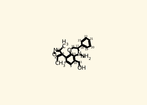 Cc1noc(C)c1-c1ccc(CO)c2c1OCC(c1ccccc1)N2N